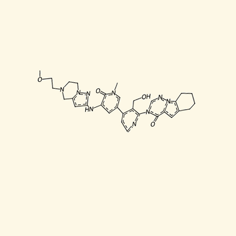 COCCN1CCn2nc(Nc3cc(-c4ccnc(-n5cnn6c7c(cc6c5=O)CCCC7)c4CO)cn(C)c3=O)cc2C1